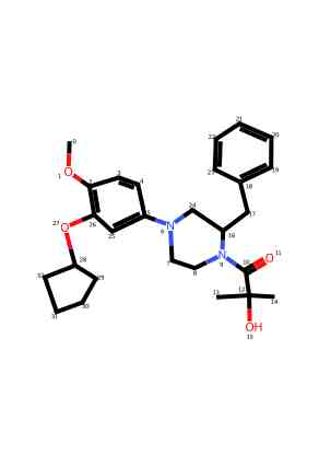 COc1ccc(N2CCN(C(=O)C(C)(C)O)C(Cc3ccccc3)C2)cc1OC1CCCC1